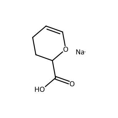 O=C(O)C1CCC=CO1.[Na]